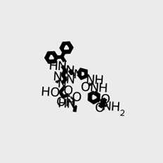 CCNC(=O)[C@H]1O[C@@H](n2cnc3c(NCC(c4ccccc4)c4ccccc4)nc(N4CC[C@@H](NC(=O)Nc5cccc(S(N)(=O)=O)c5)C4)nc32)[C@H](O)[C@@H]1O